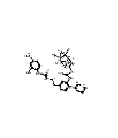 C[N+]1(C)[C@@H]2C[C@@H](OC(=O)Nc3cc(CCCC(=O)Nc4ccc(C=O)cc4Cl)ccc3-c3ccccc3)C[C@H]1[C@@H]1O[C@@H]12